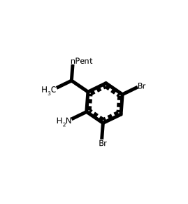 CCCCCC(C)c1cc(Br)cc(Br)c1N